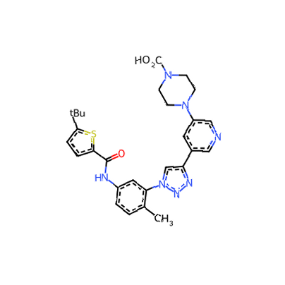 Cc1ccc(NC(=O)c2ccc(C(C)(C)C)s2)cc1-n1cc(-c2cncc(N3CCN(C(=O)O)CC3)c2)nn1